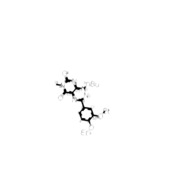 CCCCn1nc(-c2ccc(OCC)c(OCC)c2)nc2c(=O)n(C)c(=O)nc1-2